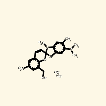 Cc1cc2c(cc1N(C)C)[Se]C1(C=Cc3cc([N+](=O)[O-])cc(CO)c3O1)N2C.Cl.Cl